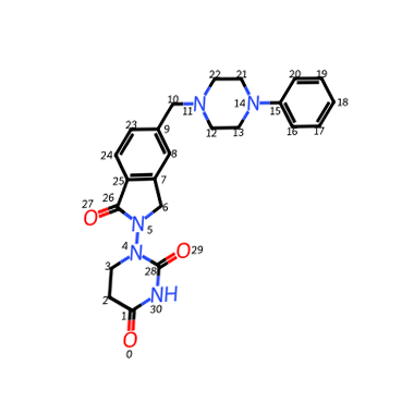 O=C1CCN(N2Cc3cc(CN4CCN(c5ccccc5)CC4)ccc3C2=O)C(=O)N1